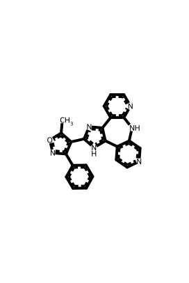 Cc1onc(-c2ccccc2)c1-c1nc2c([nH]1)-c1ccncc1Nc1ncccc1-2